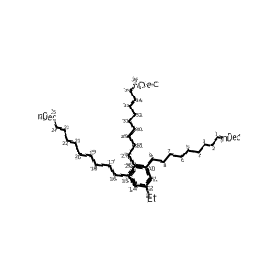 CCCCCCCCCCCCCCCCCCCc1cc(CC)cc(CCCCCCCCCCCCCCCCCCC)c1CCCCCCCCCCCCCCCCCCC